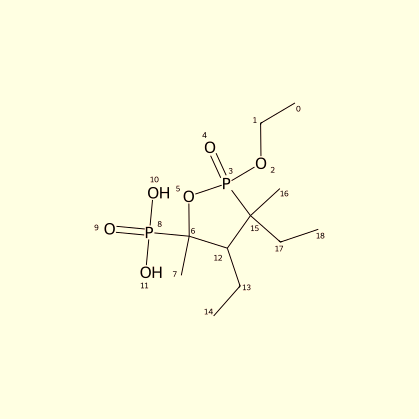 CCOP1(=O)OC(C)(P(=O)(O)O)C(CC)C1(C)CC